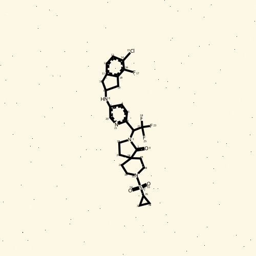 O=C1N(C(c2ccc(NC3Cc4ccc(Cl)c(F)c4C3)cn2)C(F)(F)F)CCC12CCN(S(=O)(=O)C1CC1)CC2